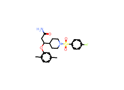 Cc1ccc(C)c(OC(CC(N)=O)C2CCN(S(=O)(=O)c3ccc(F)cc3)CC2)c1